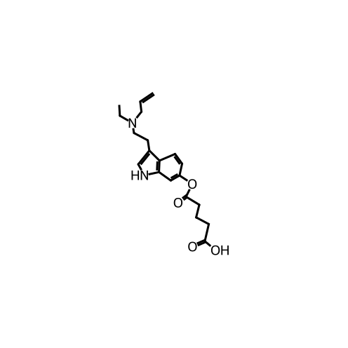 C=CCN(CC)CCc1c[nH]c2cc(OC(=O)CCCC(=O)O)ccc12